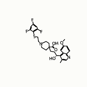 COc1ccc2ncc(C)c([C@H](O)CCC3(C(=O)O)CCN(CCSc4c(F)cc(F)cc4F)CC3)c2c1